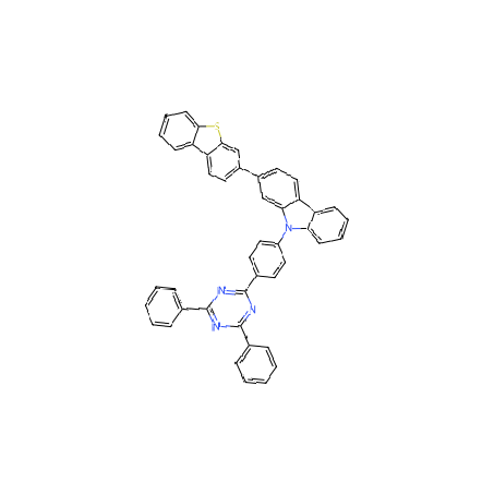 c1ccc(-c2nc(-c3ccccc3)nc(-c3ccc(-n4c5ccccc5c5ccc(-c6ccc7c(c6)sc6ccccc67)cc54)cc3)n2)cc1